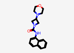 O=C(Nc1cccc2ccccc12)N1CC(N2CCOCC2)C1